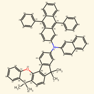 CC1(C)c2cc(N(c3ccc4ccccc4c3)c3ccc4c(-c5ccccc5)c5ccccc5c(-c5ccccc5)c4c3)ccc2-c2c1ccc1c2Oc2ccccc2[Si]1(C)C